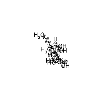 CCC(O)=S.CCCCCCCCCCCCCCCCCC(=O)O.OCC(CO)(CO)CO.OCC(O)CO